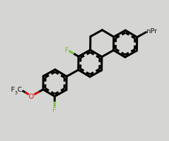 CCCc1ccc2c(c1)CCc1c-2ccc(-c2ccc(OC(F)(F)F)c(F)c2)c1F